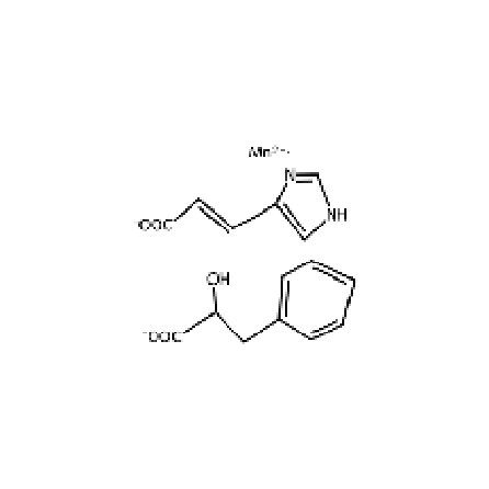 O=C([O-])C(O)Cc1ccccc1.O=C([O-])C=Cc1c[nH]cn1.[Mn+2]